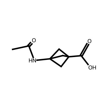 CC(=O)NC12CC(C(=O)O)(C1)C2